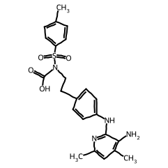 Cc1ccc(S(=O)(=O)N(CCc2ccc(Nc3nc(C)cc(C)c3N)cc2)C(=O)O)cc1